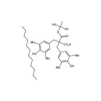 CC(S)(S)OC(=O)C(Cc1cc(C(C)(C)C)c(O)c(C(C)(C)C)c1)(Cc1cc(C(C)(C)C)c(O)c(C(C)(C)C)c1)C(=O)O.CCCCCCCCCCCC